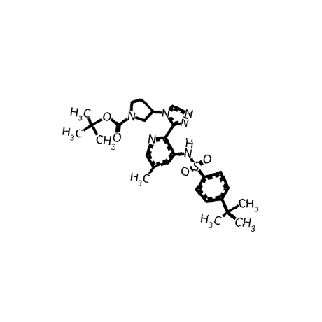 Cc1cnc(-c2nncn2C2CCN(C(=O)OC(C)(C)C)C2)c(NS(=O)(=O)c2ccc(C(C)(C)C)cc2)c1